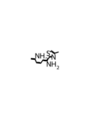 C=C(N)/C=C\C=C(/N)c1nc(C)cs1